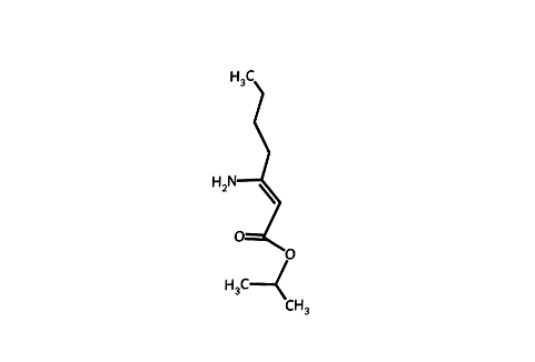 CCCCC(N)=CC(=O)OC(C)C